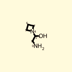 NCC(O)N1CCC1